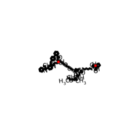 CCCc1nc2ccc(-c3nc4ccccc4n3C)cc2n1Cc1ccc(-c2ccccc2C(=O)OCCOCCOCCOCCn2cc(CN(CCCCCCN3C(=O)[C@@H]4C5C=CC(C5)[C@@H]4C3=O)C(=O)CCC(=O)NC(C)(C)CCOC(C)C)nn2)cc1